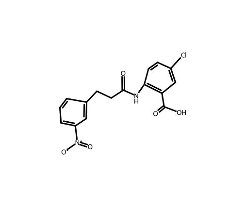 O=C(CCc1cccc([N+](=O)[O-])c1)Nc1ccc(Cl)cc1C(=O)O